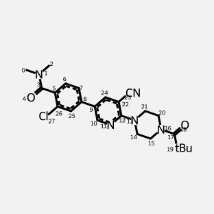 CN(C)C(=O)c1ccc(-c2cnc(N3CCN(C(=O)C(C)(C)C)CC3)c(C#N)c2)cc1Cl